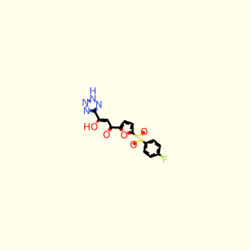 O=C(C=C(O)c1nn[nH]n1)c1ccc(S(=O)(=O)c2ccc(F)cc2)o1